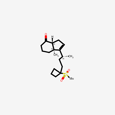 C[C@H](CCC1(S(=O)(=O)C(C)(C)C)CCC1)C1=CC[C@H]2C(=O)CCC[C@]12C